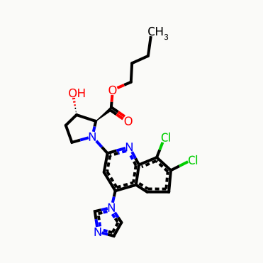 CCCCOC(=O)[C@@H]1[C@@H](O)CCN1c1cc(-n2ccnc2)c2ccc(Cl)c(Cl)c2n1